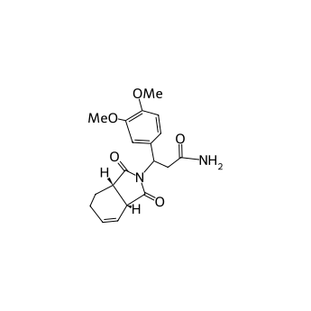 COc1ccc(C(CC(N)=O)N2C(=O)[C@H]3CCC=C[C@H]3C2=O)cc1OC